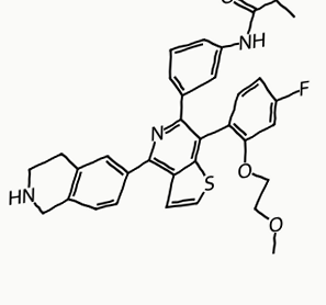 COCCOc1cc(F)ccc1-c1c(-c2cccc(NC(=O)C(C)C)c2)nc(-c2ccc3c(c2)CCNC3)c2ccsc12